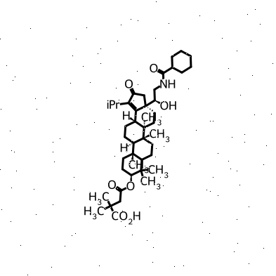 CC(C)C1=C2[C@H]3CC[C@@H]4[C@@]5(C)CC[C@H](OC(=O)CC(C)(C)C(=O)O)C(C)(C)C5CC[C@@]4(C)[C@]3(C)CC[C@@]2([C@H](O)CNC(=O)C2CCCCC2)CC1=O